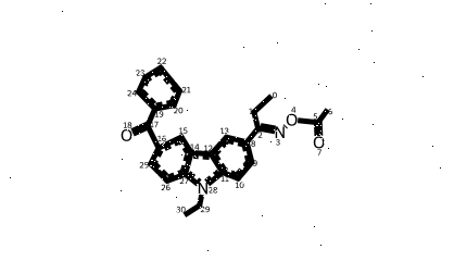 CC/C(=N\OC(C)=O)c1ccc2c(c1)c1cc(C(=O)c3ccccc3)ccc1n2CC